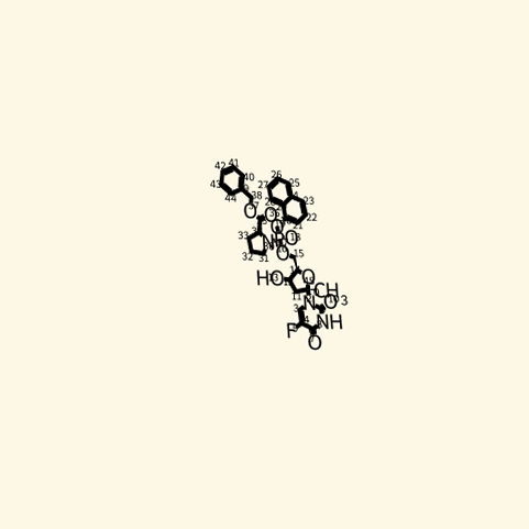 C[C@]1(n2cc(F)c(=O)[nH]c2=O)CC(O)[C@@H](COP(=O)(Oc2cccc3ccccc23)N2CCCC2C(=O)OCc2ccccc2)O1